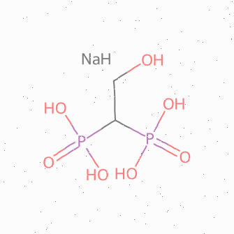 O=P(O)(O)C(CO)P(=O)(O)O.[NaH]